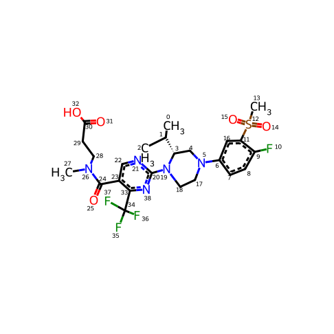 CC(C)[C@@H]1CN(c2ccc(F)c(S(C)(=O)=O)c2)CCN1c1ncc(C(=O)N(C)CCC(=O)O)c(C(F)(F)F)n1